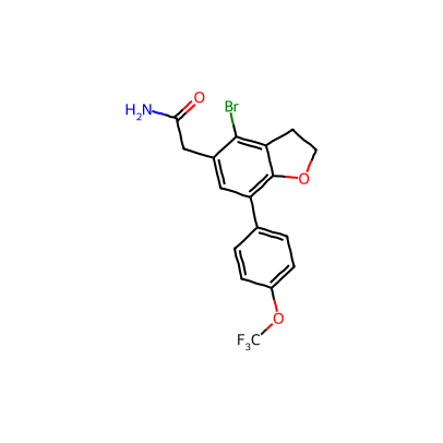 NC(=O)Cc1cc(-c2ccc(OC(F)(F)F)cc2)c2c(c1Br)CCO2